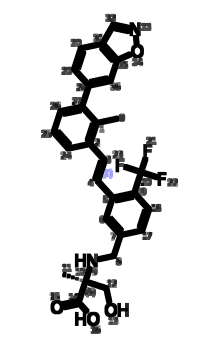 Cc1c(/C=C/c2cc(CN[C@@](C)(CO)C(=O)O)ccc2C(F)(F)F)cccc1-c1ccc2cnoc2c1